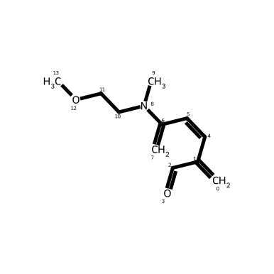 C=C(C=O)/C=C\C(=C)N(C)CCOC